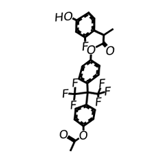 CC(=O)Oc1ccc(C(c2ccc(OC(=O)C(C)c3ccc(O)cc3F)cc2)(C(F)(F)F)C(F)(F)F)cc1